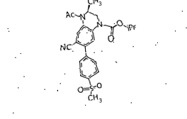 CC(=O)N1c2cc(C#N)c(-c3ccc(S(C)(=O)=O)cc3)cc2N(C(=O)OC(C)C)C[C@@H]1C